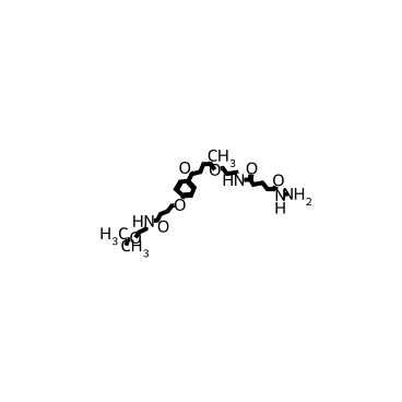 CC(C)OCCNC(=O)CCCOc1ccc(C(=O)CCC(C)OCCCNC(=O)CCCC(=O)NN)cc1